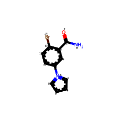 NC(=O)c1cc(-n2cccc2)ccc1Br